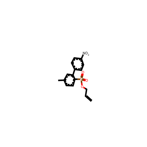 C=CCOS(=O)(=O)c1ccc(C)cc1-c1ccc([N+](=O)[O-])cc1